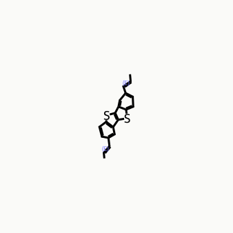 C/C=C/c1ccc2sc3c4cc(/C=C/C)ccc4sc3c2c1